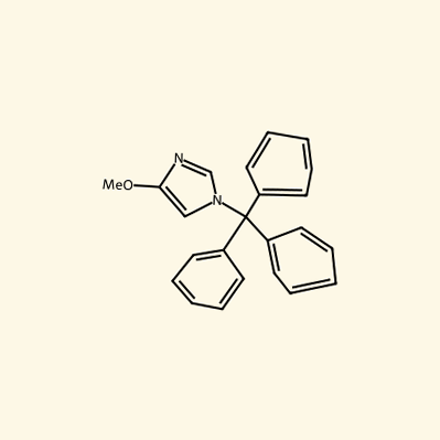 COc1cn(C(c2ccccc2)(c2ccccc2)c2ccccc2)cn1